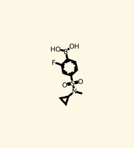 CN(C1CC1)S(=O)(=O)c1ccc(B(O)O)c(F)c1